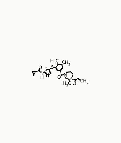 C=CC(=O)N1CCCN(C(=O)c2cc(C)c(C)c(Sc3cnc(NC(=O)C4CC4)s3)c2)C[C@H]1C